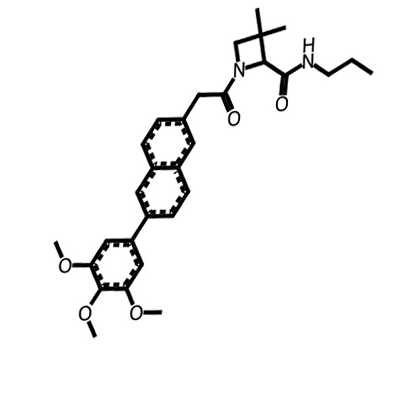 CCCNC(=O)C1N(C(=O)Cc2ccc3cc(-c4cc(OC)c(OC)c(OC)c4)ccc3c2)CC1(C)C